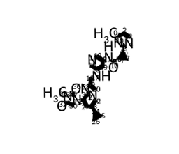 Cc1ccnc([C@H]2C[C@@H]2C(=O)Nc2cncc(NCc3cn4cc(C5CC5)cc(N5CC(=O)N(C)C5=O)c4n3)c2)n1